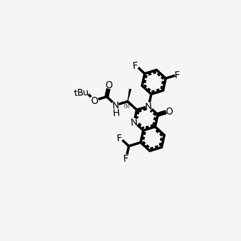 C[C@H](NC(=O)OC(C)(C)C)c1nc2c(C(F)F)cccc2c(=O)n1-c1cc(F)cc(F)c1